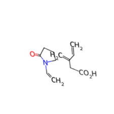 C=CC(=C)CC(=O)O.C=CN1CCCC1=O